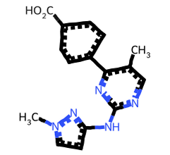 Cc1cnc(Nc2ccn(C)n2)nc1-c1ccc(C(=O)O)cc1